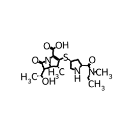 CCN(C)C(=O)[C@@H]1C[C@H](SC2=C(C(=O)O)N3C(=O)C([C@@H](C)O)C3[C@H]2C)CN1